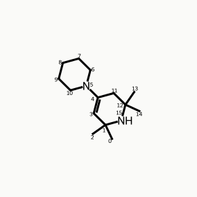 CC1(C)C=C(N2CCCCC2)CC(C)(C)N1